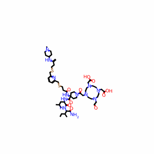 C=C(CCSCc1cccc(CSCCC(=O)NC2(C(=O)NC(CC(C)C)C(=O)NC(C(N)=O)C(C)CC)CCN(C(=O)CN3CCN(CC=O)CCN(CC(=O)O)CCN(CC(=O)O)CC3)CC2)n1)NC1CCN(C)CC1